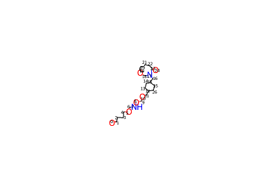 O=CCCCOCNOCOCC1CCC(CN2COCCCC2=O)CC1